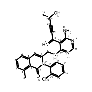 Cc1cccc2cc(CNc3ncnc(N)c3C(=N)C#C[C@@H](C)O)n(-c3ccccc3Cl)c(=O)c12